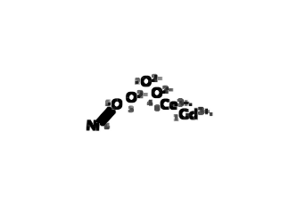 [Ce+3].[Gd+3].[O-2].[O-2].[O-2].[O]=[Ni]